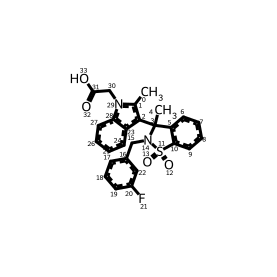 Cc1c(C2(C)c3ccccc3S(=O)(=O)N2Cc2cccc(F)c2)c2ccccc2n1CC(=O)O